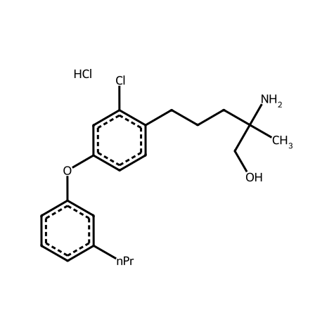 CCCc1cccc(Oc2ccc(CCCC(C)(N)CO)c(Cl)c2)c1.Cl